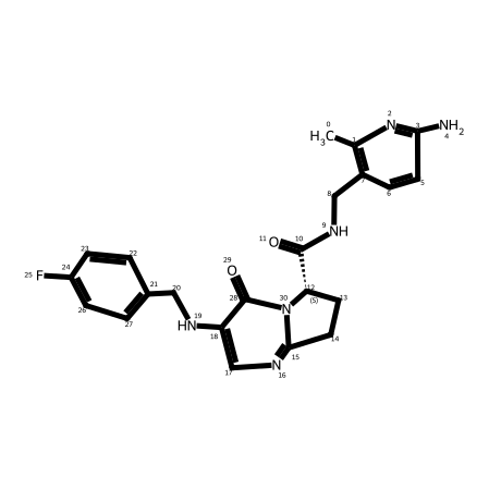 Cc1nc(N)ccc1CNC(=O)[C@@H]1CCc2ncc(NCc3ccc(F)cc3)c(=O)n21